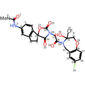 CNC(=O)Nc1ccc2c(c1)CC[C@]21OC(=O)N(CC(=O)N2Cc3cc(F)ccc3OCC2(O)C(F)(F)F)C1=O